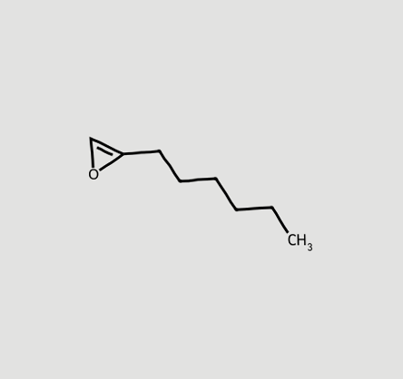 CCCCCCC1=CO1